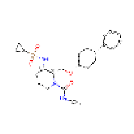 CNC(=O)N1CCC[C@H](NS(=O)(=O)C2CC2)[C@@H]1CO[C@H]1CC[C@@H](c2ccccc2)CC1